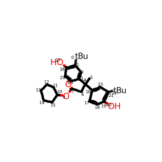 CC(C)(C)c1cc(C(C)(CC(=O)OC2CCCCC2)c2ccc(O)c(C(C)(C)C)c2)ccc1O